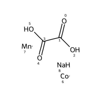 O=C(O)C(=O)O.[Co].[Mn].[NaH]